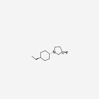 CC[C@H]1CC[C@H](N2CC[C@@H](F)C2)CC1